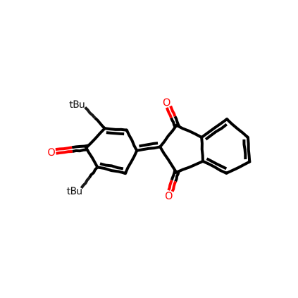 CC(C)(C)C1=CC(=C2C(=O)c3ccccc3C2=O)C=C(C(C)(C)C)C1=O